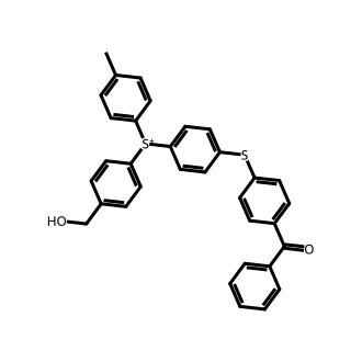 Cc1ccc([S+](c2ccc(CO)cc2)c2ccc(Sc3ccc(C(=O)c4ccccc4)cc3)cc2)cc1